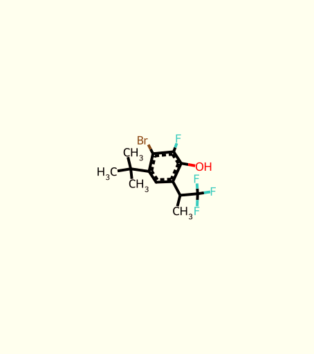 CC(c1cc(C(C)(C)C)c(Br)c(F)c1O)C(F)(F)F